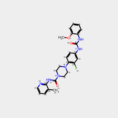 COc1ccccc1NC(=O)Nc1ccc(N2CCN(C(=O)Nc3ncccc3C)CC2)c(F)c1